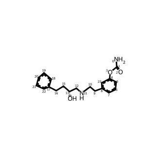 NC(=O)Oc1cccc(CCNC[C@H](O)[CH]Cc2ccccc2)c1